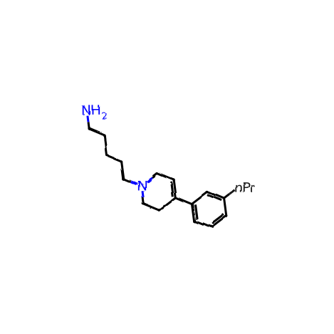 CCCc1cccc(C2=CCN(CCCCCN)CC2)c1